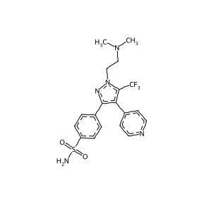 CN(C)CCn1nc(-c2ccc(S(N)(=O)=O)cc2)c(-c2ccncc2)c1C(F)(F)F